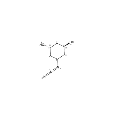 [N-]=[N+]=NC1C[C@H](O)C[C@@H](O)C1